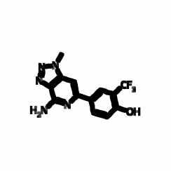 Cn1nnc2c(N)nc(-c3ccc(O)c(C(F)(F)F)c3)cc21